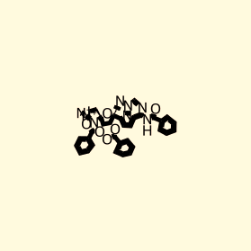 N#C[C@@]1(c2ccc3c(NC(=O)c4ccccc4)ncnn23)O[C@@](CI)(N=[N+]=[N-])[C@@H](OC(=O)c2ccccc2)[C@H]1OC(=O)c1ccccc1